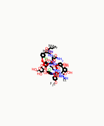 CCNNC(=O)[C@@H]1NC(=O)[C@H]2NC(=O)[C@H](NC(=O)[C@@H]3NC(=O)[C@H](CC(N)=O)NC(=O)[C@H](NC(=O)[C@@H](CC(C)C)NC)[C@H](O)c4ccc(c(Cl)c4)Oc4cc3cc(c4O[C@@H]3O[C@H](CO)[C@@H](O)[C@H](O)[C@H]3O[C@H]3C[C@](C)(NCC4CN(C(=O)Nc5ccc(OC(F)(F)F)cc5)CCO4)[C@H](O)[C@H](C)O3)Oc3ccc(cc3Cl)[C@H]2O)c2ccc(O)c(c2)-c2c(O)cc(O)cc21